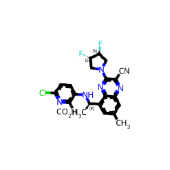 Cc1cc([C@@H](C)Nc2ccc(Cl)nc2C(=O)O)c2nc(N3C[C@H](F)[C@@H](F)C3)c(C#N)nc2c1